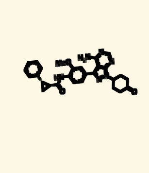 COc1cc(-c2nn(C3CCC(=O)CC3)c3ncnc(N)c23)ccc1NC(=O)[C@H]1C[C@@H]1c1ccccc1